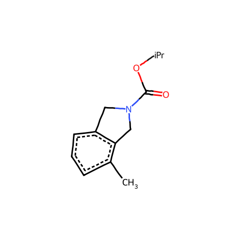 Cc1cccc2c1CN(C(=O)OC(C)C)C2